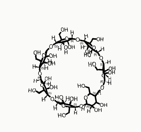 OCC1O[C@@H]2O[C@@H]3C(CO)O[C@H](O[C@@H]4C(CO)O[C@H](O[C@@H]5C(CO)O[C@H](O[C@@H]6C(CO)OC(O[C@@H]7C(CO)O[C@H](O[C@@H]8C(CO)O[C@H](O[C@H]1C(O)[C@@H]2O)C(O)[C@H]8O)C(O)[C@H]7O)[C@@H](O)[C@H]6O)[C@@H](O)C5O)[C@@H](O)C4O)[C@@H](O)C3O